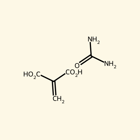 C=C(C(=O)O)C(=O)O.NC(N)=O